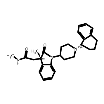 CNC(=O)C[C@]1(C)C(=O)N(C2CCN([C@H]3CCCc4ccccc43)CC2)c2ccccc21